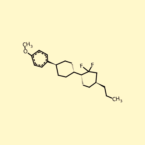 CCC[C@H]1CC[C@H]([C@H]2CC[C@H](c3ccc(OC)cc3)CC2)C(F)(F)C1